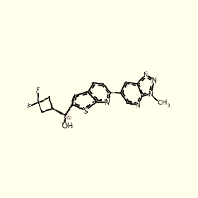 Cn1nnc2cc(-c3ccc4cc([C@@H](O)C5CC(F)(F)C5)sc4n3)cnc21